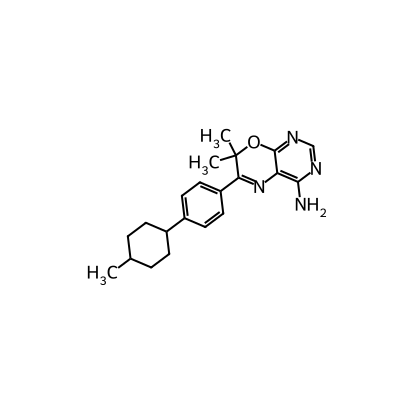 CC1CCC(c2ccc(C3=Nc4c(N)ncnc4OC3(C)C)cc2)CC1